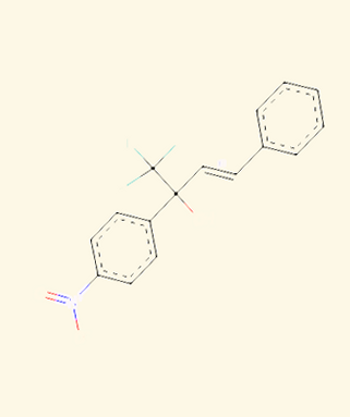 O=[N+]([O-])c1ccc(C(O)(/C=C/c2ccccc2)C(F)(F)F)cc1